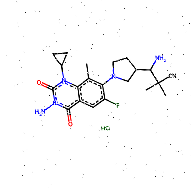 Cc1c(N2CCC(C(N)C(C)(C)C#N)C2)c(F)cc2c(=O)n(N)c(=O)n(C3CC3)c12.Cl